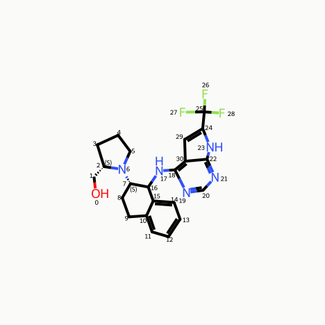 OC[C@@H]1CCCN1[C@H]1CCc2ccccc2C1Nc1ncnc2[nH]c(C(F)(F)F)cc12